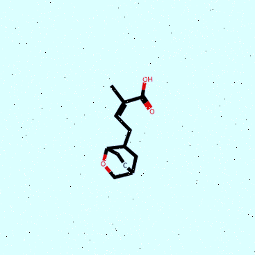 CC(=CCC1CC2CCC1OC2)C(=O)O